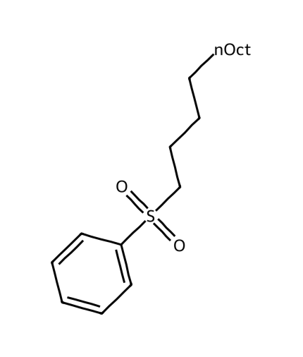 CCCCCCCCCCCCS(=O)(=O)c1ccccc1